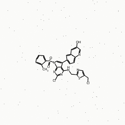 Cc1ccccc1S(=O)(=O)n1cc(-c2ccc3ncc(O)cc3c2)c2c(NCc3ncc(CCl)s3)nc(Cl)nc21